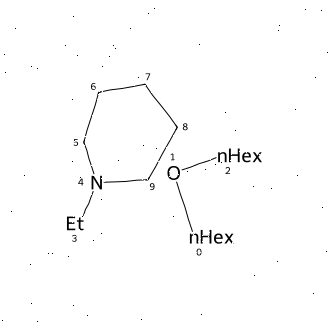 CCCCCCOCCCCCC.CCN1CCCCC1